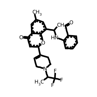 Cc1cc(C(C)Nc2ccccc2C=O)c2oc(C3=CCN(C(C)C(F)(F)F)CC3)cc(=O)c2c1